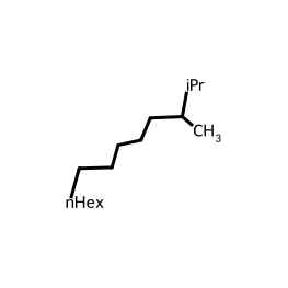 CCCCCCCCCCCC(C)C(C)C